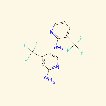 Nc1cc(C(F)(F)F)ccn1.Nc1ncccc1C(F)(F)F